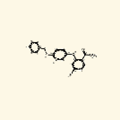 COC(=O)c1ccc(F)cc1Oc1ccc(OCc2ccccc2)nc1